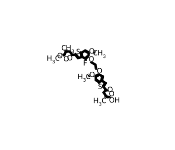 COC(=O)[C@@H](C)CC(=O)c1cc2c(F)c(OCCCOc3cc4cc(C(=O)C[C@H](C)C(=O)O)sc4cc3OC)c(OC)cc2s1